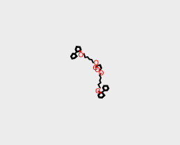 O=C(/C=C\C(=O)OCCCCCCOc1ccccc1-c1ccccc1)OCCCCCCOc1ccccc1-c1ccccc1